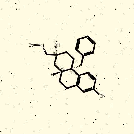 CCOC[C@@]1(O)CC[C@@]2(Cc3ccccc3)c3ccc(C#N)cc3CC[C@@H]2C1